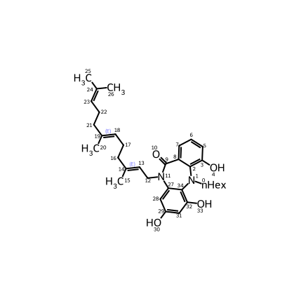 CCCCCCN1c2c(O)cccc2C(=O)N(C/C=C(\C)CC/C=C(\C)CCC=C(C)C)c2cc(O)cc(O)c21